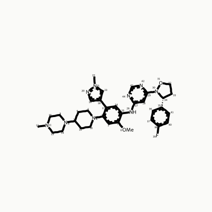 COc1cc(N2CCC(N3CCN(C)CC3)CC2)c(-c2cnn(C)c2)cc1Nc1cc(N2OCC[C@@H]2c2ccc(F)cc2)ncn1